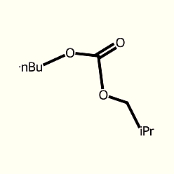 CCC[CH]OC(=O)OCC(C)C